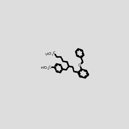 O=C(O)CCCCC(CCc1ccccc1OCc1ccccc1)Cc1ccc(C(=O)O)cc1